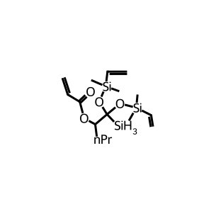 C=CC(=O)OC(CCC)C([SiH3])(O[Si](C)(C)C=C)O[Si](C)(C)C=C